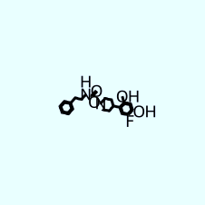 O=C(NCCc1ccccc1)ON1CCC(c2cc(F)c(O)cc2O)CC1